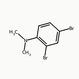 CN(C)c1ccc(Br)cc1Br